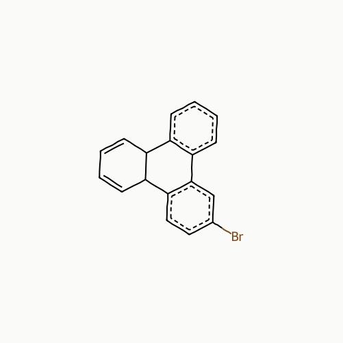 Brc1ccc2c(c1)-c1ccccc1C1C=CC=CC21